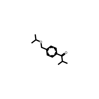 CC(C)OCc1ccc(C(=O)C(C)C)cc1